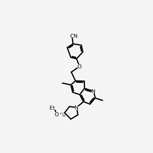 CCO[C@H]1CCN(c2cc(C)nc3cc(COc4ccc(C#N)cc4)c(C)cc23)C1